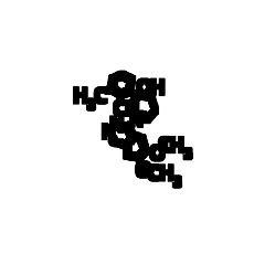 COc1cc2cnnc(N3CCCC(O)(c4cccc(C)c4C)C3)c2cc1OC